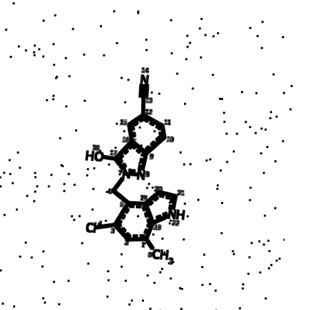 Cc1cc(Cl)c(Cn2nc3ccc(C#N)cc3c2O)c2cc[nH]c12